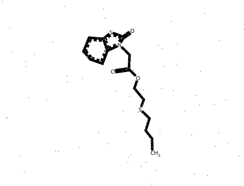 CCCCSCCOC(=O)Cn1c(=O)sc2ccccc21